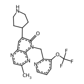 Cc1cnc2cc(C3CCNCC3)c(=O)n(Cc3ncccc3OC(F)(F)F)c2n1